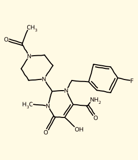 CC(=O)N1CCN(C2N(C)C(=O)C(O)=C(C(N)=O)N2Cc2ccc(F)cc2)CC1